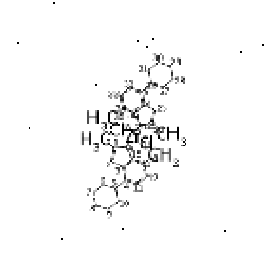 CC1=Cc2c(C3CCCCC3)ccc(C)c2[CH]1[Zr]([Cl])([Cl])[CH]1C(C)=Cc2c(C3CCCCC3)ccc(C)c21